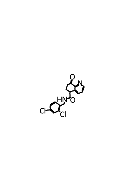 O=C1CCC(C(=O)NCc2ccc(Cl)cc2Cl)c2cccnc21